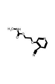 CNC(=O)OCCOc1cnccc1C#N